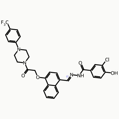 O=C(N/N=C/c1ccc(OCC(=O)N2CCN(c3ccc(C(F)(F)F)cc3)CC2)c2ccccc12)c1ccc(O)c(Cl)c1